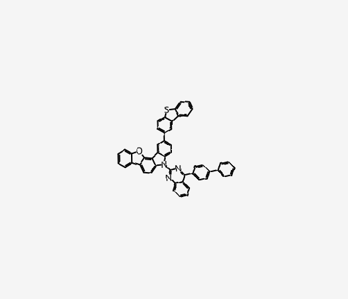 c1ccc(-c2ccc(-c3nc(-n4c5ccc(-c6ccc7sc8ccccc8c7c6)cc5c5c6oc7ccccc7c6ccc54)nc4ccccc34)cc2)cc1